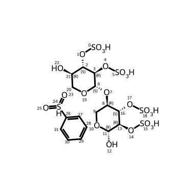 O=S(=O)(O)O[C@@H]1[C@@H](OS(=O)(=O)O)[C@H](O[C@@H]2CO[C@@H](O)[C@H](OS(=O)(=O)O)[C@H]2OS(=O)(=O)O)OC[C@H]1O.O=[SH](=O)c1ccccc1